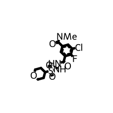 CNC(=O)c1cc(Cl)c(F)c(C(=O)NNS(=O)(=O)C2CCOCC2)c1